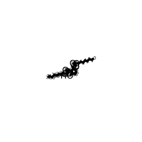 CCCCCCCCOS(=O)(=O)Cc1cccc(O)c1CS(=O)(=O)OCCCCCCCC